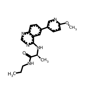 CCCNC(=O)[C@H](C)Nc1ncnc2ccc(-c3ccc(OC)nc3)cc12